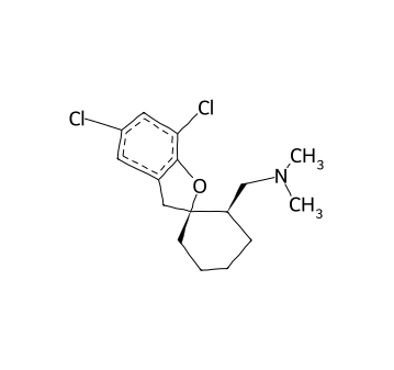 CN(C)C[C@H]1CCCC[C@]12Cc1cc(Cl)cc(Cl)c1O2